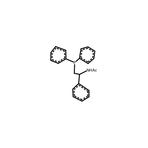 CC(=O)NC(CP(c1ccccc1)c1ccccc1)c1ccccc1